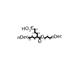 CCCCCCCCCCCCCOC(=O)C(CCCCCCCCCCCCC)CCCC(=O)O